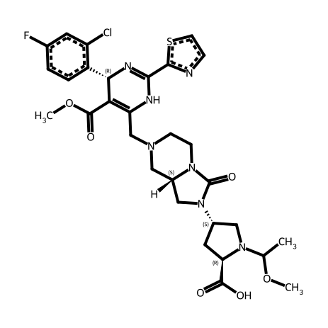 COC(=O)C1=C(CN2CCN3C(=O)N([C@H]4C[C@H](C(=O)O)N(C(C)OC)C4)C[C@@H]3C2)NC(c2nccs2)=N[C@H]1c1ccc(F)cc1Cl